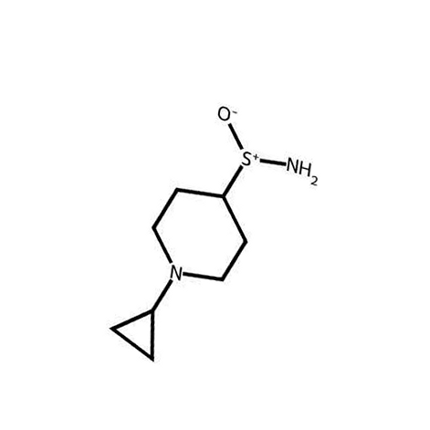 N[S+]([O-])C1CCN(C2CC2)CC1